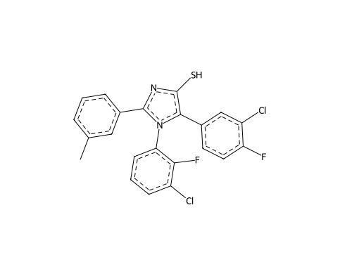 Cc1cccc(-c2nc(S)c(-c3ccc(F)c(Cl)c3)n2-c2cccc(Cl)c2F)c1